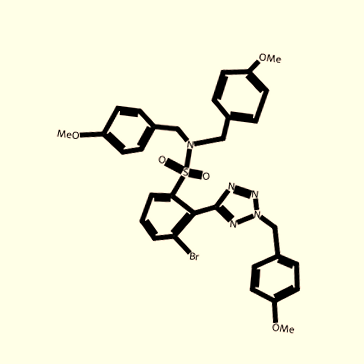 COc1ccc(CN(Cc2ccc(OC)cc2)S(=O)(=O)c2cccc(Br)c2-c2nnn(Cc3ccc(OC)cc3)n2)cc1